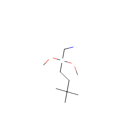 CO[Si](CN)(CCC(C)(C)C)OC